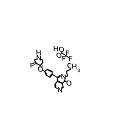 CCCCn1cc(-c2ccc(O[C@H]3CCNC[C@@H]3F)cc2)c2ccncc2c1=O.O=C(O)C(F)(F)F